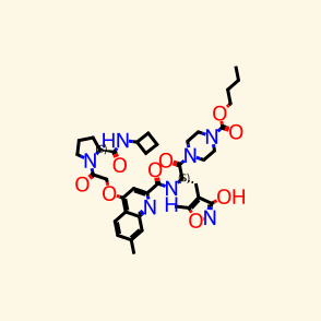 CCCCOC(=O)N1CCN(C(=O)[C@H](Cc2c(O)noc2C)NC(=O)c2cc(OCC(=O)N3CCC[C@H]3C(=O)NC3CCC3)c3ccc(C)cc3n2)CC1